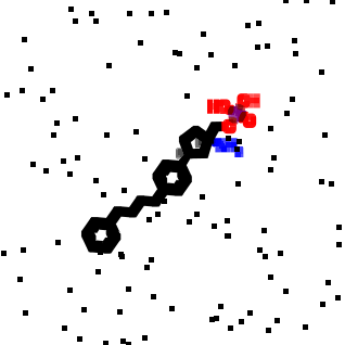 N[C@]1(COP(=O)(O)O)CC[C@H](c2ccc(CCCCc3ccccc3)cc2)C1